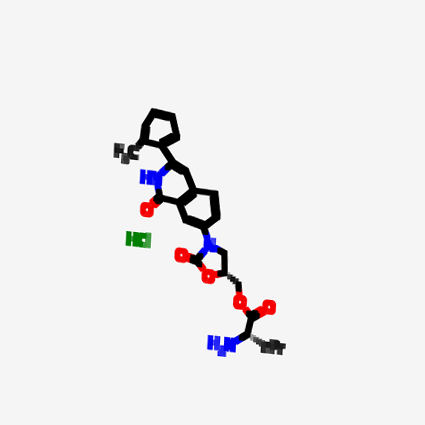 CCC[C@H](N)C(=O)OC[C@H]1CN(c2ccc3cc(-c4ccccc4C(F)(F)F)[nH]c(=O)c3c2)C(=O)O1.Cl